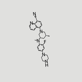 C[C@H]1C[C@@H](N(C)c2ccc(N3CCNCC3)cc2F)CN(c2ccc(C#N)c3ncccc23)C1